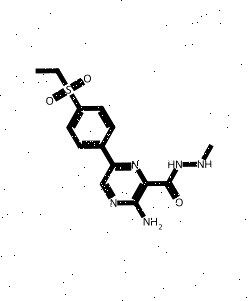 CCS(=O)(=O)c1ccc(-c2cnc(N)c(C(=O)NNC)n2)cc1